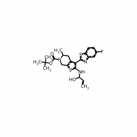 C=CC(O)Nc1sc2c(c1-c1nc3cc(F)ccc3s1)CC(C)N(C(=O)OC(C)(C)C)C2